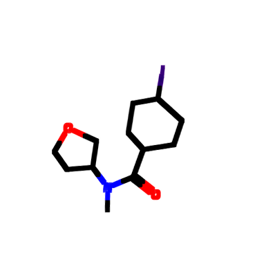 CN(C(=O)C1CCC(I)CC1)C1CCOC1